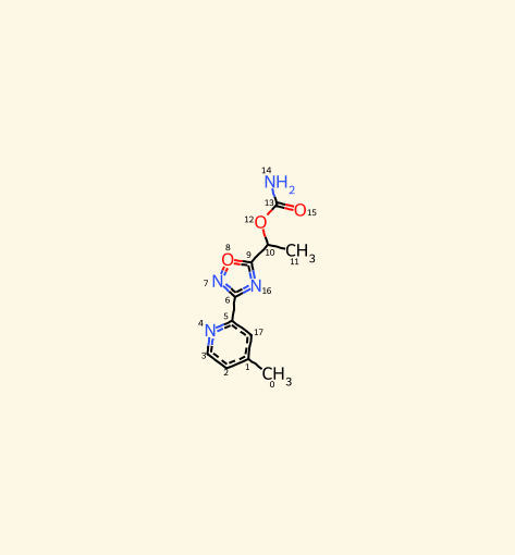 Cc1ccnc(-c2noc(C(C)OC(N)=O)n2)c1